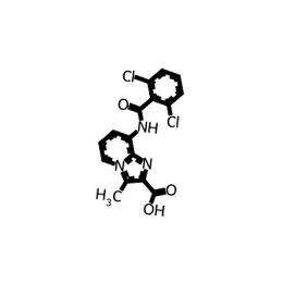 Cc1c(C(=O)O)nc2c(NC(=O)c3c(Cl)cccc3Cl)cccn12